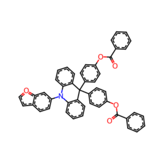 O=C(Oc1ccc(C2(c3ccc(OC(=O)c4ccccc4)cc3)c3ccccc3N(c3ccc4ccoc4c3)c3ccccc32)cc1)c1ccccc1